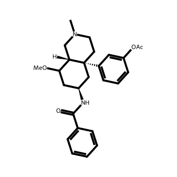 COC1C[C@H](NC(=O)c2ccccc2)C[C@]2(c3cccc(OC(C)=O)c3)CCN(C)C[C@@H]12